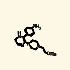 COCCN1CCN(C2=C(c3ccc(N)cc3)NCC=N2)CC1